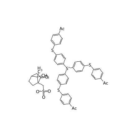 CC(=O)c1ccc(Sc2ccc([S+](c3ccc(Sc4ccc(C(C)=O)cc4)cc3)c3ccc(Sc4ccc(C(C)=O)cc4)cc3)cc2)cc1.CC1(C)C2CCC1(CS(=O)(=O)[O-])C(=O)C2